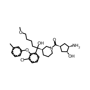 COCCCCC(O)(c1cccc(Cl)c1Oc1cccc(C)c1)[C@@H]1CCCN(C(=O)[C@H]2C[C@@H](N)[C@@H](O)C2)C1